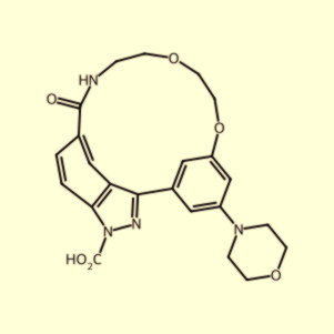 O=C1NCCOCCOc2cc(cc(N3CCOCC3)c2)-c2nn(C(=O)O)c3ccc1cc23